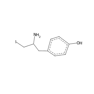 NC(CI)Cc1ccc(O)cc1